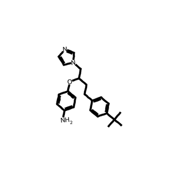 CC(C)(C)c1ccc(CCC(Cn2ccnc2)Oc2ccc(N)cc2)cc1